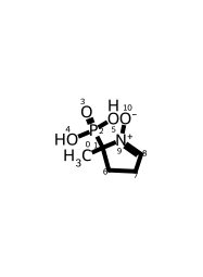 CC1(P(=O)(O)O)CCC=[N+]1[O-]